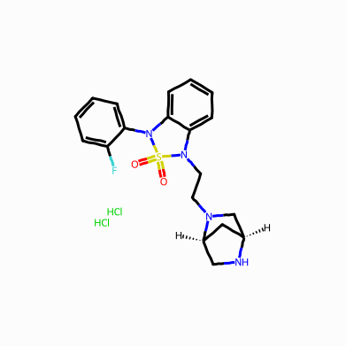 Cl.Cl.O=S1(=O)N(CCN2C[C@@H]3C[C@H]2CN3)c2ccccc2N1c1ccccc1F